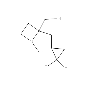 OCC12CCN1C[C@]1(C2)CC1(F)F